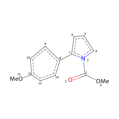 COC(=O)n1cccc1-c1ccc(OC)cc1